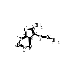 B/B=B\c1c(B)oc2bbbbc12